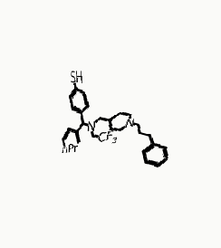 C=C(/C=C\CCC)C(c1ccc(S)cc1)N(CC1CCN(CCCc2ccccc2)CC1)CC(F)(F)F